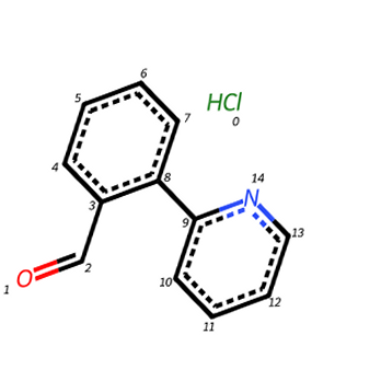 Cl.O=Cc1ccccc1-c1ccccn1